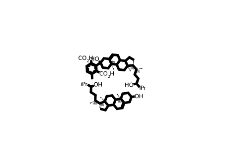 CC(C)C(O)CC[C@@H](C)[C@H]1CCC2C3CC=C4CC(O)CC[C@]4(C)C3CC[C@@]21C.Cc1ccc(C(=O)O)c(C2(O)CC[C@@]3(C)C(=CCC4C3CC[C@@]3(C)C4CC[C@@H]3[C@H](C)CCC(O)C(C)C)C2)c1C(=O)O